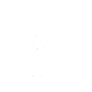 COc1nc(-c2ccc(C)c(C)c2)nc(-c2cc(CN)ccc2Cl)n1.Cl